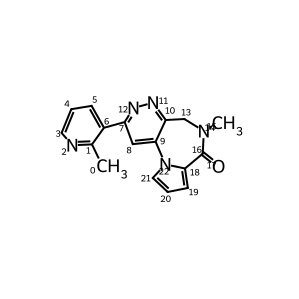 Cc1ncccc1-c1cc2c(nn1)CN(C)C(=O)c1cccn1-2